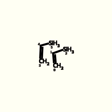 C=C[SiH3].C=C[SiH3]